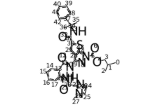 CC(C)COC(=O)n1nc(NC(=O)c2ccccc2NC(=O)c2nccn2C)c2cc(C(=O)NC(C)(C)c3ccccc3)sc21